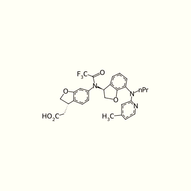 CCCN(c1cc(C)ccn1)c1cccc2c1OC[C@H]2N(C(=O)C(F)(F)F)c1ccc2c(c1)OC[C@H]2CC(=O)O